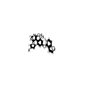 Cc1cc(Oc2nccc3occc23)ccc1-c1c(C)ncnc1N1CC[C@H](F)C1